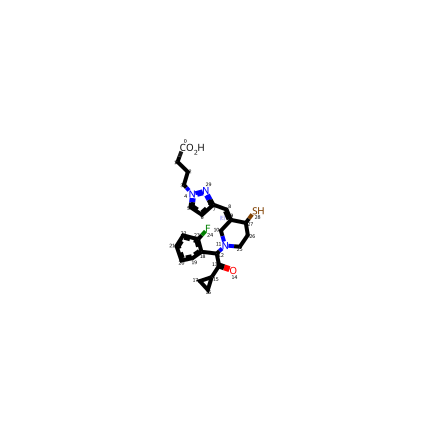 O=C(O)CCCn1ccc(/C=C2\CN(C(C(=O)C3CC3)c3ccccc3F)CCC2S)n1